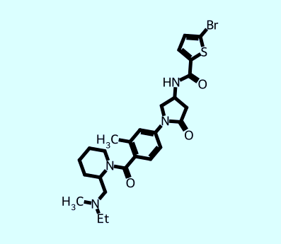 CCN(C)CC1CCCCN1C(=O)c1ccc(N2CC(NC(=O)c3ccc(Br)s3)CC2=O)cc1C